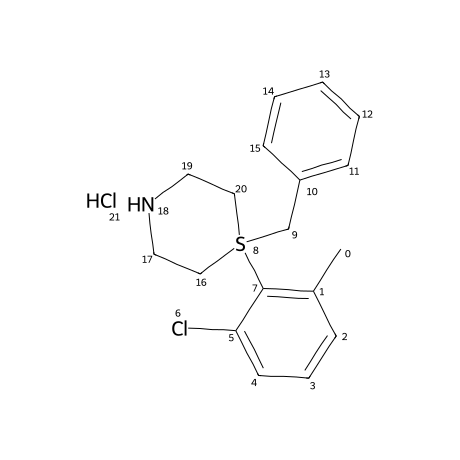 Cc1cccc(Cl)c1S1(Cc2ccccc2)CCNCC1.Cl